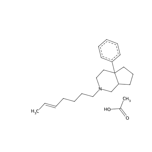 CC(=O)O.CC=CCCCCN1CCC2(c3ccccc3)CCCC2C1